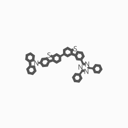 c1ccc(-c2nc(-c3ccccc3)nc(-c3ccc4sc5ccc(-c6ccc7c(c6)sc6cc(-n8c9ccccc9c9ccccc98)ccc67)cc5c4c3)n2)cc1